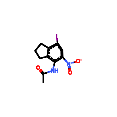 CC(=O)Nc1c([N+](=O)[O-])cc(I)c2c1CCC2